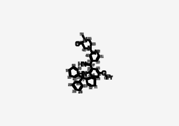 CC(C)Oc1ccc(NC(c2ccccc2)(c2ccccc2)c2ccccc2)c(C(=N)c2ccnc(N3CCN(C)C(=O)C3)c2)c1